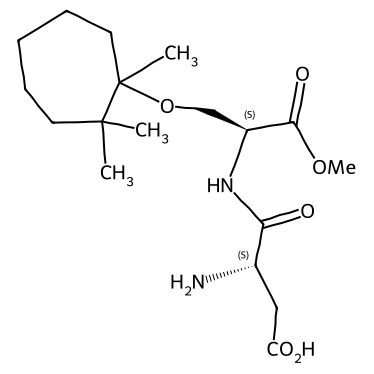 COC(=O)[C@H](COC1(C)CCCCCC1(C)C)NC(=O)[C@@H](N)CC(=O)O